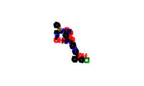 CS(=O)(=O)c1cc(S(=O)(=O)NC(=O)c2ccc(N3CCC([C@@H](O)c4ccccc4-c4ccc(Cl)cc4)CC3)cc2)ccc1N[C@@H](CSc1ccccc1)C[C@@H]1CCCN1CCO